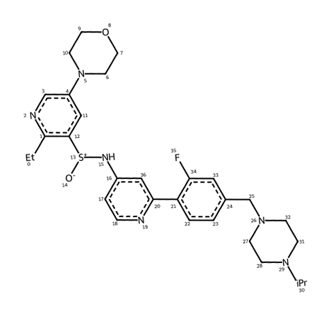 CCc1ncc(N2CCOCC2)cc1[S+]([O-])Nc1ccnc(-c2ccc(CN3CCN(C(C)C)CC3)cc2F)c1